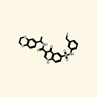 CC(NC(=O)c1c[nH]c2ccc(S(=O)(=O)Nc3cccc(CF)c3)cc2c1=O)c1ccc2c(c1)OCCO2